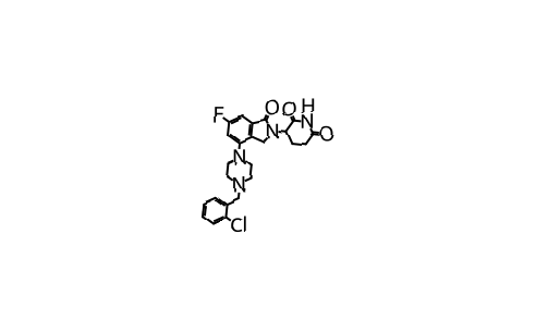 O=C1CCC(N2Cc3c(cc(F)cc3N3CCN(Cc4ccccc4Cl)CC3)C2=O)C(=O)N1